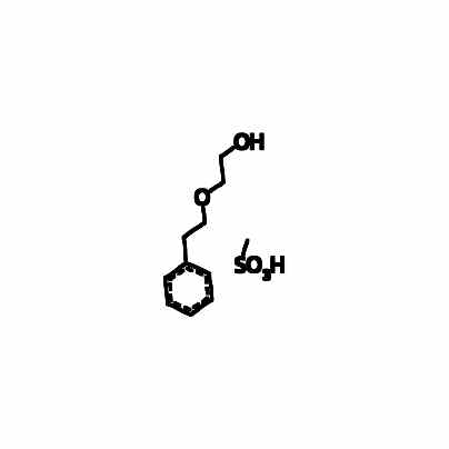 CS(=O)(=O)O.OCCOCCc1ccccc1